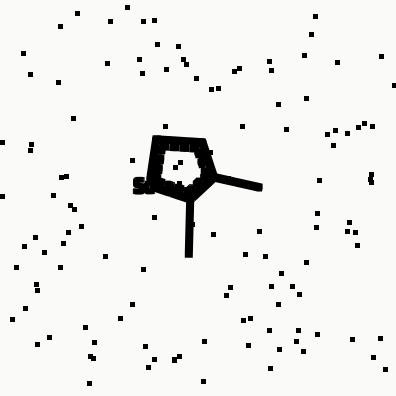 Cc1cc[se]c1C